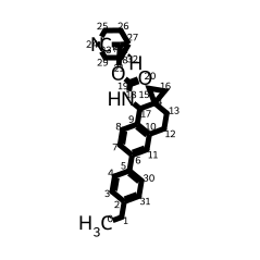 CCc1ccc(-c2ccc3c(c2)CCC2(CC2)C3NC(=O)O[C@H]2CN3CCC2CC3)cc1